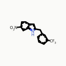 O=[N+]([O-])c1ccc2cc(Cc3cccc(C(F)(F)F)c3)[nH]c2c1